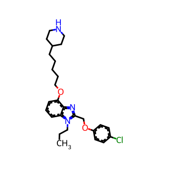 CCCn1c(COc2ccc(Cl)cc2)nc2c(OCCCCCC3CCNCC3)cccc21